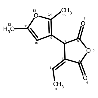 CC=C1C(=O)OC(=O)C1c1cc(C)oc1C